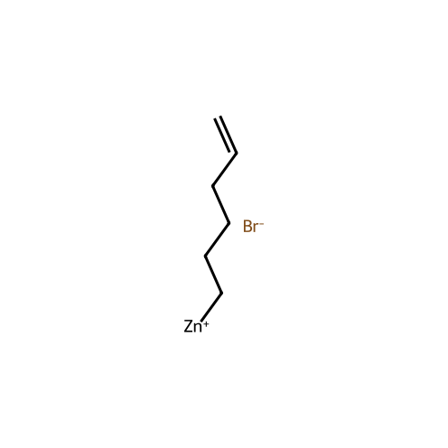 C=CCCC[CH2][Zn+].[Br-]